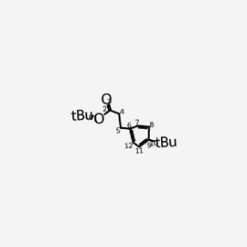 CC(C)(C)OC(=O)CCc1ccc(C(C)(C)C)cc1